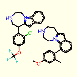 COc1ccc(-c2cccc3cc4n(c23)CCNCC4)c(C)c1.FC(F)(F)Oc1ccc(C2CNCCn3c2cc2ccccc23)c(Cl)c1